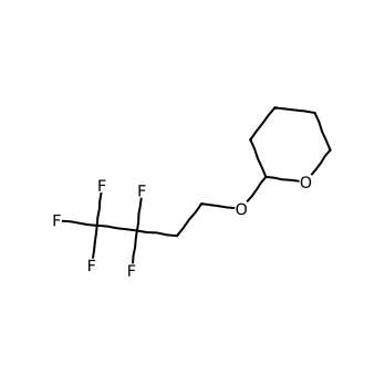 FC(F)(F)C(F)(F)CCOC1CCCCO1